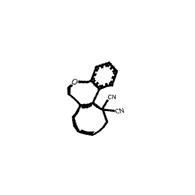 N#CC1(C#N)CC=CCC2=C1c1ccccc1OC2